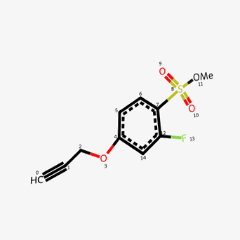 C#CCOc1ccc(S(=O)(=O)OC)c(F)c1